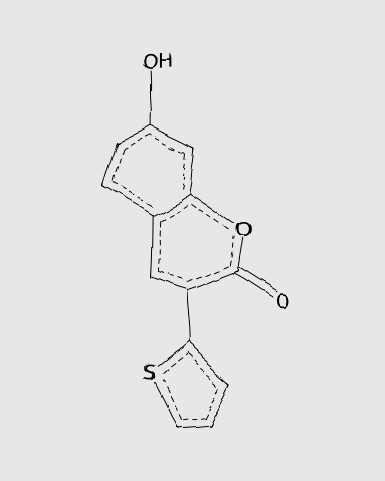 O=c1oc2cc(O)ccc2cc1-c1cccs1